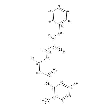 Cc1ccc(N)c(OC(=O)CC(C)CNC(=O)OCc2ccccc2)c1